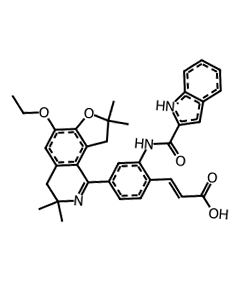 CCOc1cc2c(c3c1OC(C)(C)C3)C(c1ccc(/C=C/C(=O)O)c(NC(=O)c3cc4ccccc4[nH]3)c1)=NC(C)(C)C2